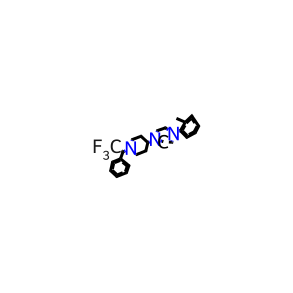 Cc1ccccc1N1CCN(C2CCN(C(c3ccccc3)C(F)(F)F)CC2)CC1